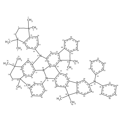 CC1(C)CCC(C)(C)c2cc(N3c4cc5c(cc4B4c6c3cc3c(c6-c6cc7c(cc6N4c4ccccc4)C(C)(C)c4ccc(N(c6ccccc6)c6ccccc6)cc4-7)C(C)(C)c4ccccc4-3)C(C)(C)CCC5(C)C)ccc21